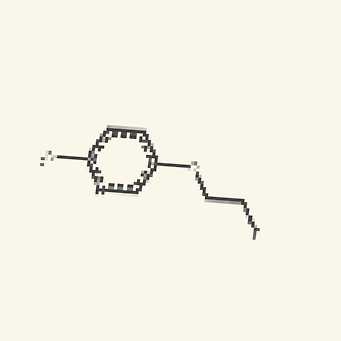 Nc1ccc(OCCF)cn1